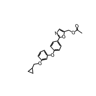 CC(=O)OCc1cnc(-c2ccc(Oc3cccc(OCC4CC4)c3)cc2)o1